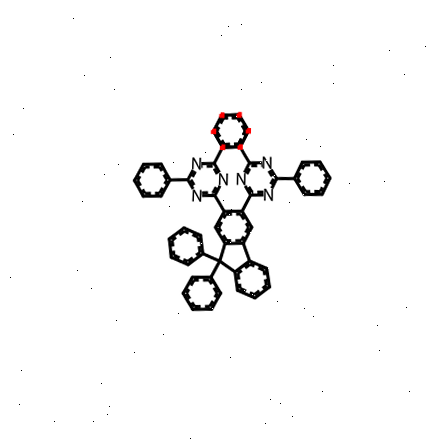 c1ccc(-c2nc(-c3ccccc3)nc(-c3cc4c(cc3-c3nc(-c5ccccc5)nc(-c5ccccc5)n3)C(c3ccccc3)(c3ccccc3)c3ccccc3-4)n2)cc1